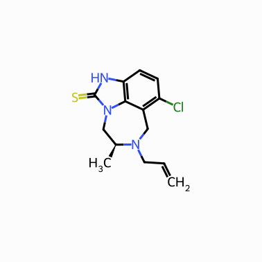 C=CCN1Cc2c(Cl)ccc3[nH]c(=S)n(c23)C[C@@H]1C